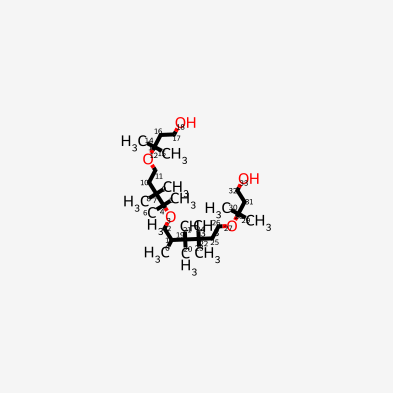 CC(COC(C)(C)C(C)(C)CCOC(C)(C)CCO)C(C)(C)C(C)(C)CCOC(C)(C)CCO